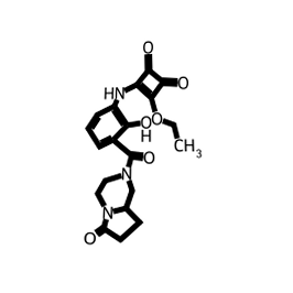 CCOc1c(Nc2cccc(C(=O)N3CCN4C(=O)CCC4C3)c2O)c(=O)c1=O